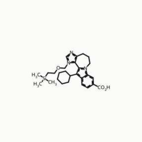 C[Si](C)(C)CCOCn1cnc2c1-c1c(C3CCCCC3)c3ccc(C(=O)O)cc3n1CCC2